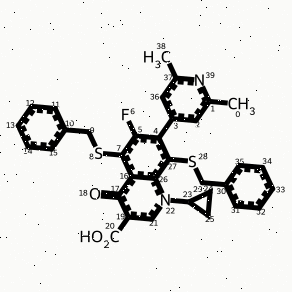 Cc1cc(-c2c(F)c(SCc3ccccc3)c3c(=O)c(C(=O)O)cn(C4CC4)c3c2SCc2ccccc2)cc(C)n1